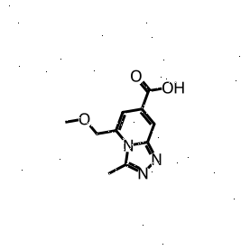 COCc1cc(C(=O)O)cc2nnc(C)n12